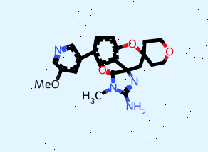 COc1cncc(-c2ccc3c(c2)C2(CC4(CCOCC4)O3)N=C(N)N(C)C2=O)c1